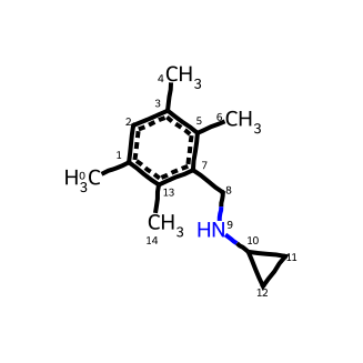 Cc1cc(C)c(C)c(CNC2CC2)c1C